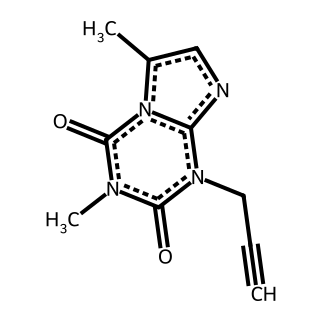 C#CCn1c(=O)n(C)c(=O)n2c(C)cnc12